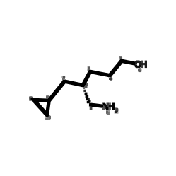 NC[C@@H](CCCO)CC1CC1